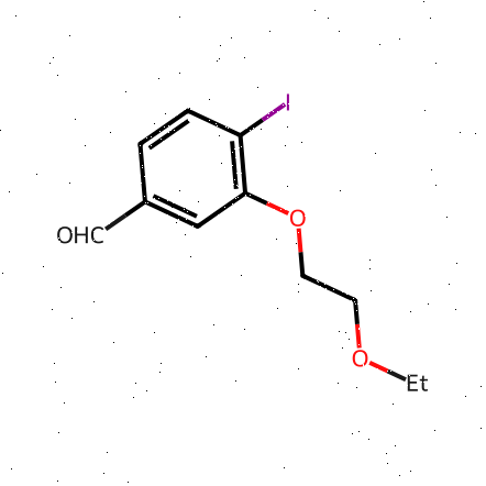 CCOCCOc1cc(C=O)ccc1I